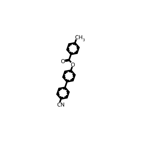 Cc1ccc(C(=O)Oc2ccc(-c3ccc(C#N)cc3)cc2)cc1